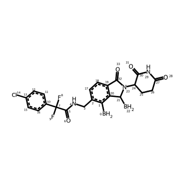 Bc1c(CNC(=O)C(F)(F)c2ccc(Cl)cc2)ccc2c1C(B)N(C1CCC(=O)NC1=O)C2=O